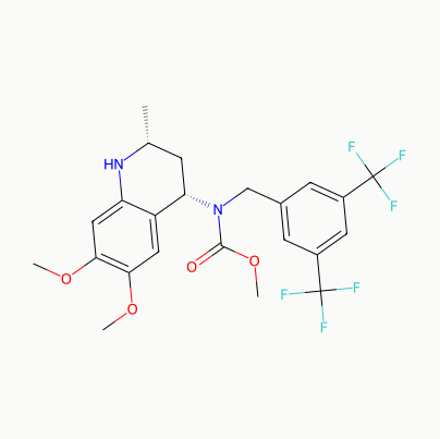 COC(=O)N(Cc1cc(C(F)(F)F)cc(C(F)(F)F)c1)[C@H]1C[C@@H](C)Nc2cc(OC)c(OC)cc21